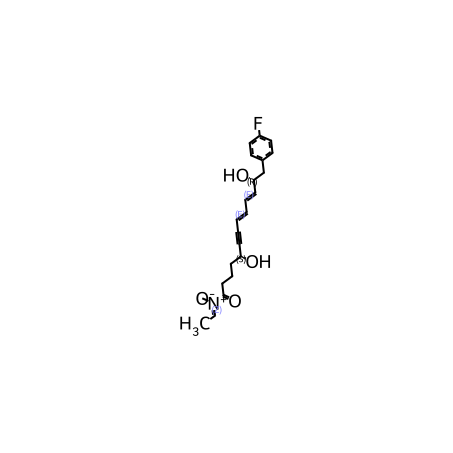 C/C=[N+](\[O-])C(=O)CCC[C@H](O)C#C/C=C/C=C/[C@H](O)Cc1ccc(F)cc1